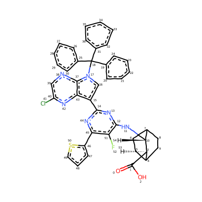 O=C(O)[C@@H]1C2CCC(CC2)[C@H]1Nc1nc(-c2cn(C(c3ccccc3)(c3ccccc3)c3ccccc3)c3ncc(Cl)nc23)nc(-c2cccs2)c1F